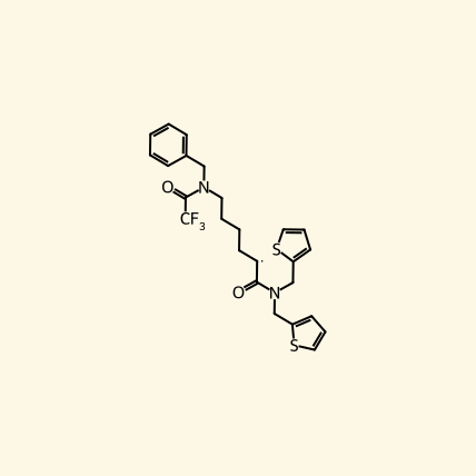 O=C([CH]CCCCN(Cc1ccccc1)C(=O)C(F)(F)F)N(Cc1cccs1)Cc1cccs1